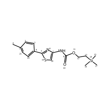 Cc1ccc(-c2nc(NC(=O)OCC[Si](C)(C)C)cs2)cc1